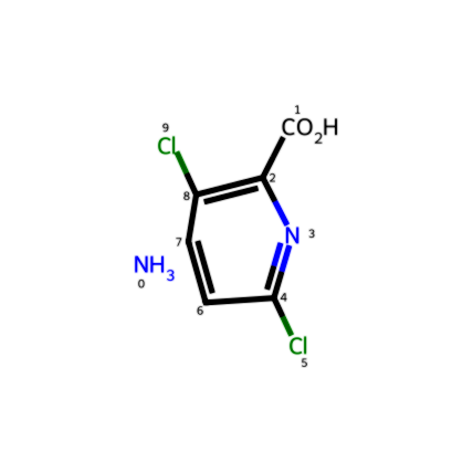 N.O=C(O)c1nc(Cl)ccc1Cl